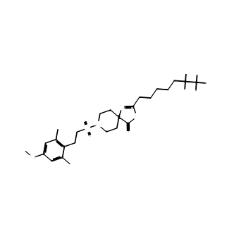 CNc1cc(C)c(CCS(=O)(=O)N2CCC3(CC2)N=C(CCCCCC(F)(F)C(F)(F)F)NC3=O)c(C)c1